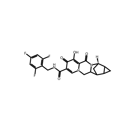 O=C(NCc1c(F)cc(F)cc1F)c1cn2c(c(O)c1=O)C(=O)N1C(C2)C2C[C@H]1C1CC21